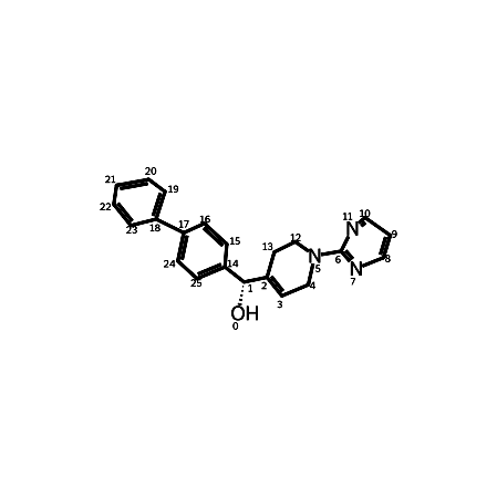 O[C@@H](C1=CCN(c2ncccn2)CC1)c1ccc(-c2ccccc2)cc1